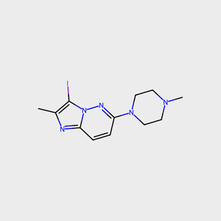 Cc1nc2ccc(N3CCN(C)CC3)nn2c1I